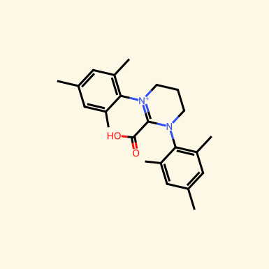 Cc1cc(C)c(N2CCC[N+](c3c(C)cc(C)cc3C)=C2C(=O)O)c(C)c1